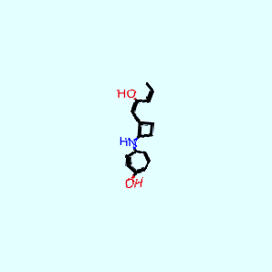 C/C=C\C(O)=C/C1CCC1NC1C=CC=C(O)C=C1